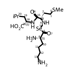 CSCC[C@H](N[Se]C(=O)[C@@H](N)CCCCN)C(=O)N[C@@H](CC(C)C)C(=O)O